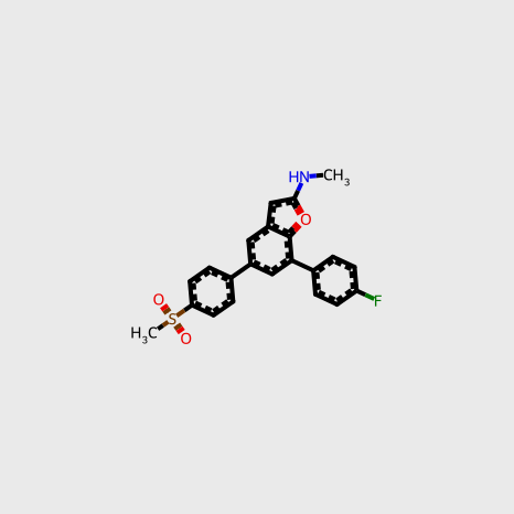 CNc1cc2cc(-c3ccc(S(C)(=O)=O)cc3)cc(-c3ccc(F)cc3)c2o1